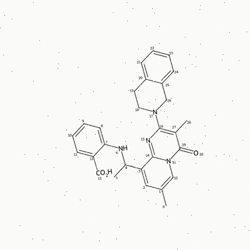 Cc1cc(C(C)Nc2ccccc2C(=O)O)c2nc(N3CCc4ccccc4C3)c(C)c(=O)n2c1